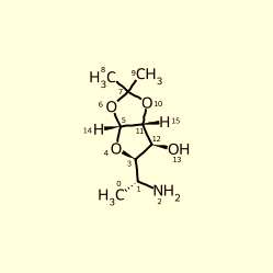 C[C@@H](N)[C@H]1O[C@@H]2OC(C)(C)O[C@@H]2[C@H]1O